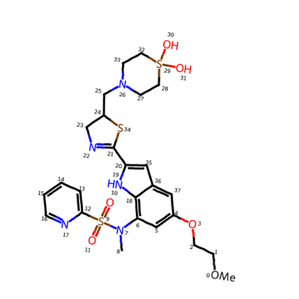 COCCOc1cc(N(C)S(=O)(=O)c2ccccn2)c2[nH]c(C3=NCC(CN4CCS(O)(O)CC4)S3)cc2c1